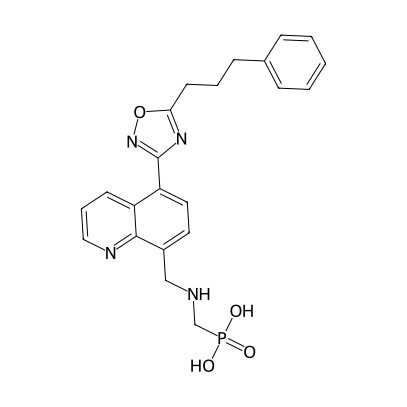 O=P(O)(O)CNCc1ccc(-c2noc(CCCc3ccccc3)n2)c2cccnc12